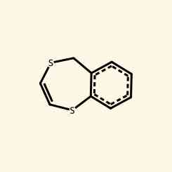 C1=CSc2ccccc2CS1